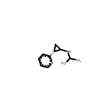 CC(C)NC1C[C@H]1c1ccccn1